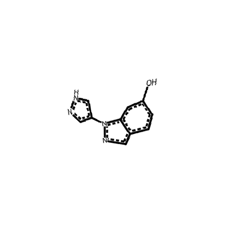 Oc1ccc2cnn(-c3cn[nH]c3)c2c1